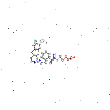 Cc1ccc(Cc2ccnc(N3CCc4c(C(=O)NCCOCCO)cccc43)c2)cc1F